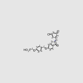 O=C(O)COc1ccc(COc2ccc3c(c2)C/C(=C\c2cc(Cl)cc(Cl)c2)C3=O)cc1